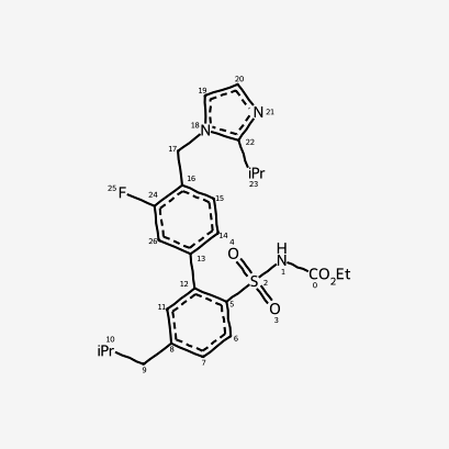 CCOC(=O)NS(=O)(=O)c1ccc(CC(C)C)cc1-c1ccc(Cn2ccnc2C(C)C)c(F)c1